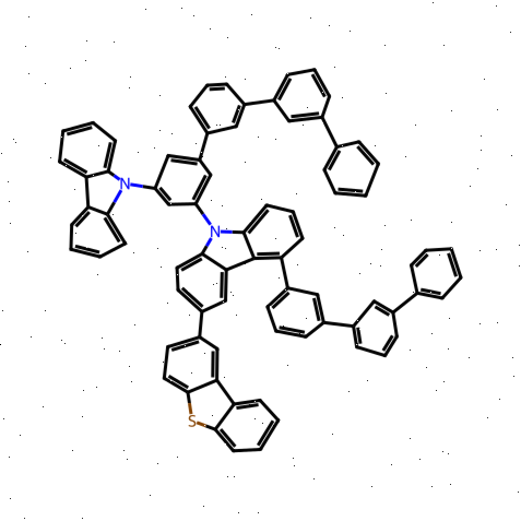 c1ccc(-c2cccc(-c3cccc(-c4cc(-n5c6ccccc6c6ccccc65)cc(-n5c6ccc(-c7ccc8sc9ccccc9c8c7)cc6c6c(-c7cccc(-c8cccc(-c9ccccc9)c8)c7)cccc65)c4)c3)c2)cc1